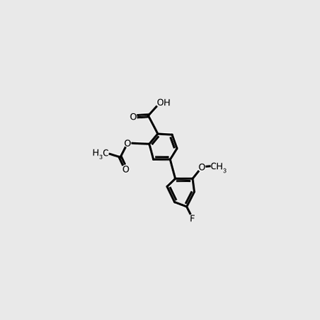 COc1cc(F)ccc1-c1ccc(C(=O)O)c(OC(C)=O)c1